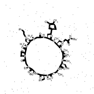 CC[C@H](C)[C@@H]1NC(=O)[C@H](CC(C)C)N(C)C(=O)C[C@@H](C)NC(=O)[C@H](CC(C)C)N(C)C(=O)C(C)(C)NC(=O)[C@H](COCC(=O)NC(C)(C)C)N(C)C(=O)[C@H](CCc2ccc(C(F)(F)F)c(Cl)c2)NC(=O)CN(C)C(=O)[C@H](COCCC(C)C)N(C)C(=O)[C@@H]2CCN2C(=O)CN(CC)C1=O